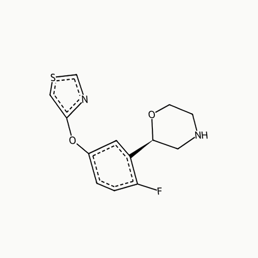 Fc1ccc(Oc2cscn2)cc1[C@@H]1CNCCO1